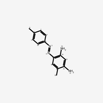 Cc1ccc(/N=N/c2cc(C)c(N)cc2N)cc1